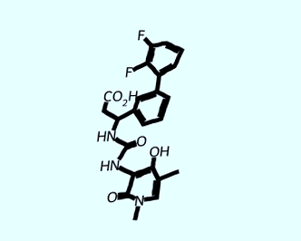 Cc1cn(C)c(=O)c(NC(=O)NC(CC(=O)O)c2cccc(-c3cccc(F)c3F)c2)c1O